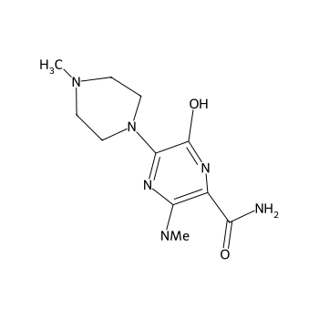 CNc1nc(N2CCN(C)CC2)c(O)nc1C(N)=O